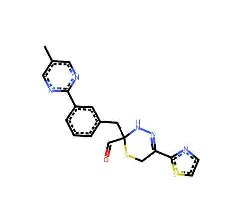 Cc1cnc(-c2cccc(CC3(C=O)NN=C(c4nccs4)CS3)c2)nc1